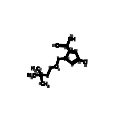 C[Si](C)(C)CCOCn1cc(Cl)cc1C(=O)O